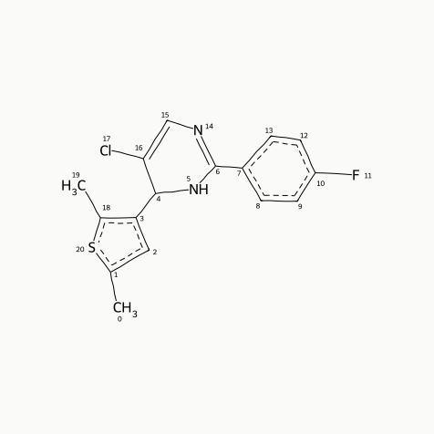 Cc1cc(C2NC(c3ccc(F)cc3)=NC=C2Cl)c(C)s1